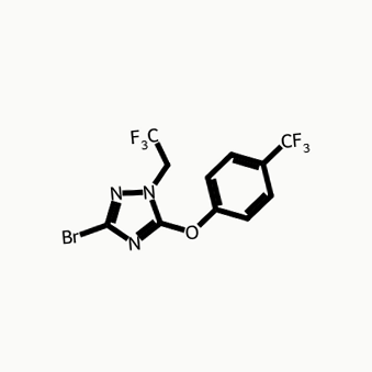 FC(F)(F)Cn1nc(Br)nc1Oc1ccc(C(F)(F)F)cc1